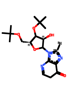 [2H][13c]1nc2c(n1C1O[C@H](COC(C)(C)C)C(OC(C)(C)C)[C@H]1O)N=CCC2=O